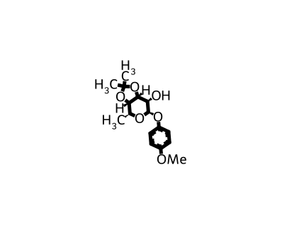 COc1ccc(O[C@H]2O[C@H](C)[C@@H]3OC(C)(C)O[C@@H]3[C@H]2O)cc1